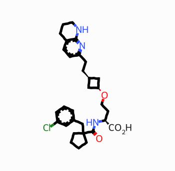 O=C(O)[C@H](CCO[C@H]1C[C@H](CCc2ccc3c(n2)NCCC3)C1)NC(=O)C1(Cc2cccc(Cl)c2)CCCC1